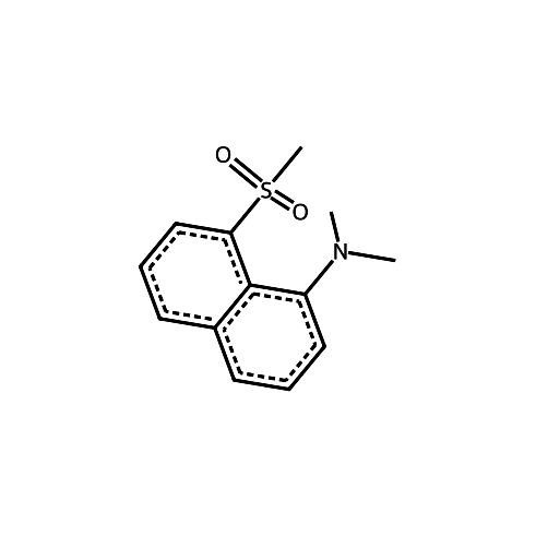 CN(C)c1cccc2cccc(S(C)(=O)=O)c12